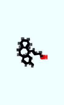 Cc1ccc2c(c1)C(/C=C/CO)c1ccccc1CC2